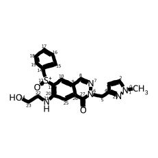 Cn1ccc(Cn2ncc3cc([S+]([O-])c4ccccc4)c(NCCO)cc3c2=O)n1